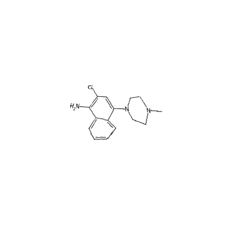 CN1CCN(c2cc(Cl)c(N)c3ccccc23)CC1